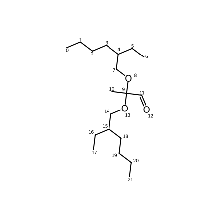 CCCCC(CC)COC(C)(C=O)OCC(CC)CCCC